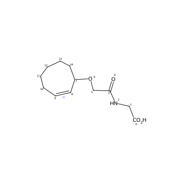 O=C(O)CNC(=O)COC1/C=C\CCCCC1